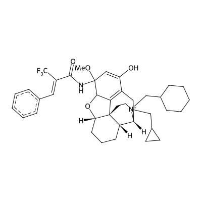 COC1(NC(=O)C(=Cc2ccccc2)C(F)(F)F)C=C(O)C2=C3C1O[C@H]1CCC[C@H]4[C@@H](C2)[N+](CC2CCCCC2)(CC2CC2)CC[C@]314